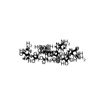 CCCCCNC(=O)OC[C@H]1[C@@H](O)[C@H](n2c[n+](C)c3c(=O)[nH]c(N)nc32)O[C@@H]1COP(=O)(O)OP(=O)(O)OP(=O)(O)OC[C@H]1O[C@@H](n2cnc3c(N)ncnc32)[C@H](OC)[C@@H]1P(=O)([O-])OCC1O[C@@H](n2cnc3c(=O)[nH]c(N)nc32)[C@H](O)[C@@H]1O